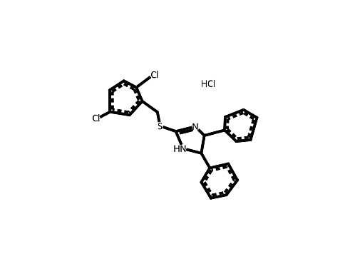 Cl.Clc1ccc(Cl)c(CSC2=NC(c3ccccc3)C(c3ccccc3)N2)c1